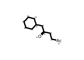 CC(=O)CCC(=O)CC1CCCCC1